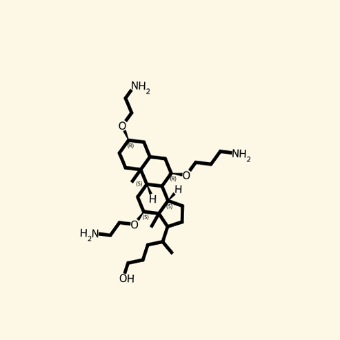 CC(CCCO)C1CC[C@H]2C3[C@H](OCCCN)CC4C[C@H](OCCN)CCC4(C)[C@H]3C[C@H](OCCN)C12C